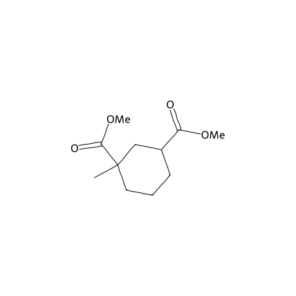 COC(=O)C1CCCC(C)(C(=O)OC)C1